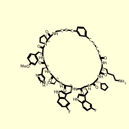 COc1ccc(C[C@@H]2NC(=O)[C@H](Cc3c[nH]cn3)NC(=O)[C@H](CC(=O)O)NC(=O)[C@H](Cc3c[nH]c4ccc(F)cc34)NC(=O)[C@H](Cc3c[nH]c4ccc(F)cc34)NC(=O)[C@@H](C3CCCC3)NC(=O)[C@H](CCCCN)NC(=O)CCSCc3cccc(c3)CSCCNC(=O)[C@]3(C)CCCN3C2=O)cc1